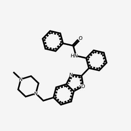 CN1CCN(Cc2ccc3oc(-c4ccccc4NC(=O)c4ccccc4)nc3c2)CC1